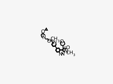 C[C@@H](OCCN1CC[C@@H](OC2CC2)C1)c1ccc(-c2ccc3nnc4c(c3c2)n(C2CCOCC2)c(=O)n4C)cn1